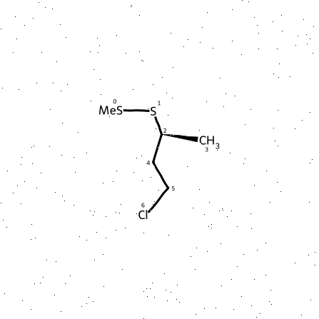 CSS[C@@H](C)CCCl